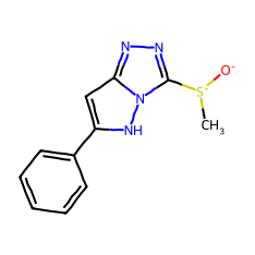 C[S+]([O-])c1nnc2cc(-c3ccccc3)[nH]n12